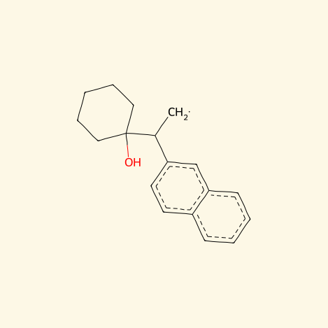 [CH2]C(c1ccc2ccccc2c1)C1(O)CCCCC1